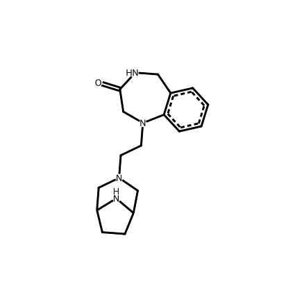 O=C1CN(CCN2CC3CCC(C2)N3)c2ccccc2CN1